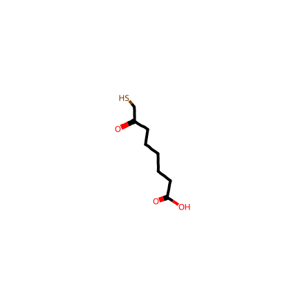 O=C(O)CCCCCC(=O)CS